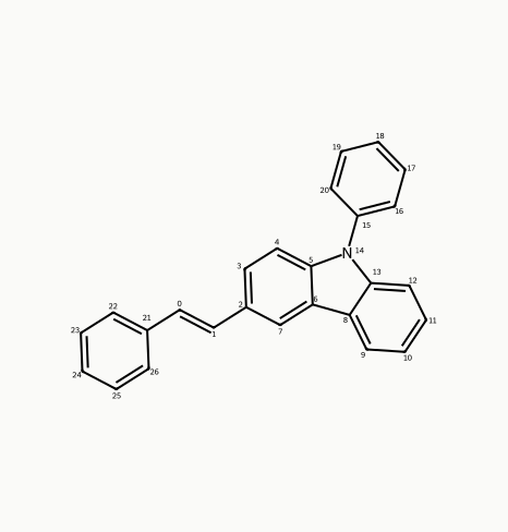 C(=Cc1ccc2c(c1)c1ccccc1n2-c1ccccc1)c1ccccc1